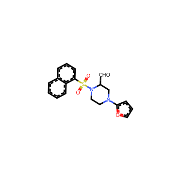 O=CC1CN(c2ccco2)CCN1S(=O)(=O)c1cccc2ccccc12